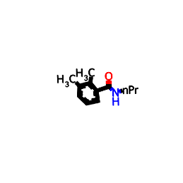 CCCNC(=O)c1cccc(C)c1C